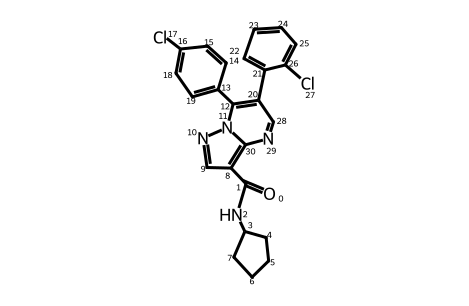 O=C(NC1CCCC1)c1cnn2c(-c3ccc(Cl)cc3)c(-c3ccccc3Cl)cnc12